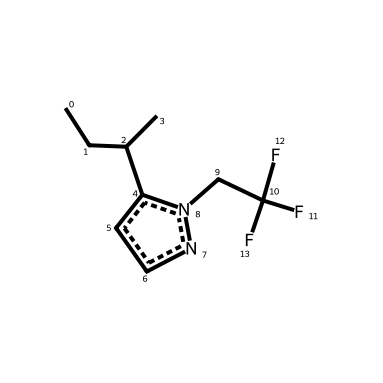 CCC(C)c1ccnn1CC(F)(F)F